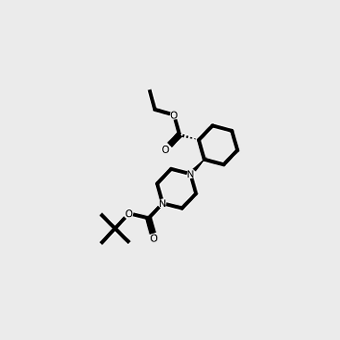 CCOC(=O)[C@@H]1CCCC[C@H]1N1CCN(C(=O)OC(C)(C)C)CC1